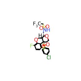 O=S(=O)(CC(F)(F)F)NC[C@@H]1OCC[C@@]2(S(=O)(=O)c3ccc(Cl)cc3)c3c(F)ccc(F)c3OC[C@@H]12